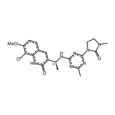 COc1ccc2cc([C@H](C)Nc3nc(C)nc(N4CCN(C)C4=O)n3)c(=O)[nH]c2c1Cl